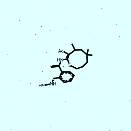 C=C(N/C1=C(\C(C)=O)C(C)CC(C)(C)CCCS1)c1ccccc1CNS